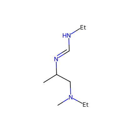 CCN/C=N/C(C)CN(C)CC